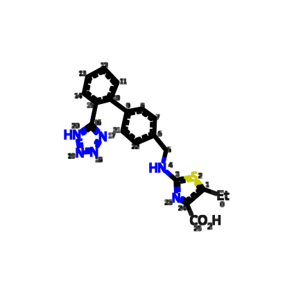 CCc1sc(NCc2ccc(-c3ccccc3-c3nnn[nH]3)cc2)nc1C(=O)O